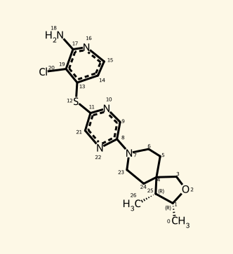 C[C@H]1OCC2(CCN(c3cnc(Sc4ccnc(N)c4Cl)cn3)CC2)[C@H]1C